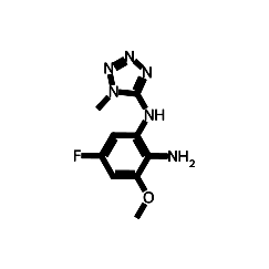 COc1cc(F)cc(Nc2nnnn2C)c1N